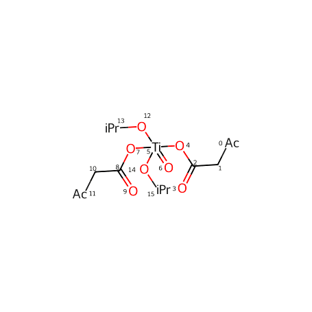 CC(=O)CC(=O)[O][Ti](=[O])([O]C(=O)CC(C)=O)([O]C(C)C)[O]C(C)C